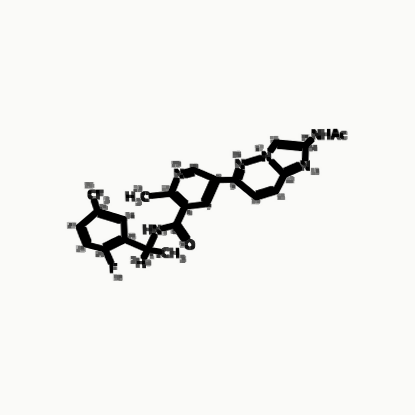 [2H]C(C)(NC(=O)c1cc(-c2ccc3nc(NC(C)=O)cn3n2)cnc1C)c1cc(C(F)(F)F)ccc1F